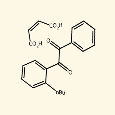 CCCCc1ccccc1C(=O)C(=O)c1ccccc1.O=C(O)/C=C\C(=O)O